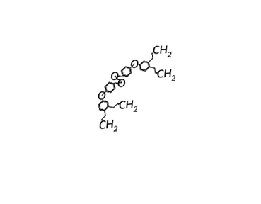 C=CCc1ccc(Oc2ccc(S(=O)(=O)c3ccc(Oc4ccc(CC=C)c(CC=C)c4)cc3)cc2)cc1CC=C